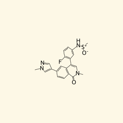 Cn1cc(-c2ccc3c(=O)n(C)cc(-c4cc(N[S+](C)[O-])ccc4F)c3c2)cn1